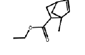 CCOC(=O)C1CC2C=CC1(C)C2